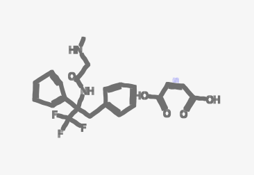 CNCC(=O)NC(Cc1ccccc1)(c1ccccc1)C(F)(F)F.O=C(O)/C=C\C(=O)O